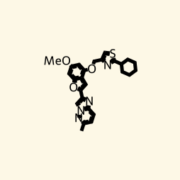 COc1cc(OCc2csc(C3CCCCC3)n2)c2cc(-c3cn4nc(C)ccc4n3)oc2c1